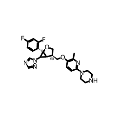 Cc1nc(N2CCNCC2)ccc1OC[C@@H]1CO[C@@]2(c3ccc(F)cc3F)C1C2n1cncn1